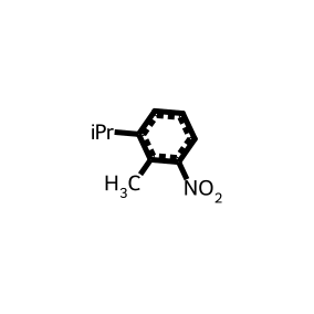 [CH2]C(C)c1cccc([N+](=O)[O-])c1C